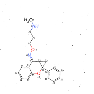 CNCCCON=C1c2ccccc2OC2(c3ccccc3)CC12